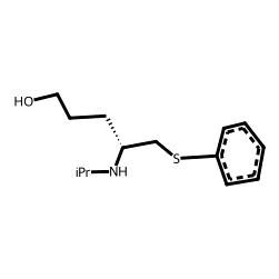 CC(C)N[C@H](CCCO)CSc1ccccc1